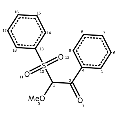 COC(C(=O)c1ccccc1)S(=O)(=O)c1ccccc1